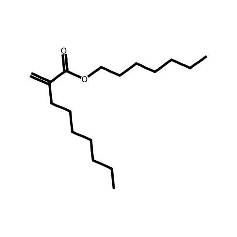 C=C(CCCCCCC)C(=O)OCCCCCCC